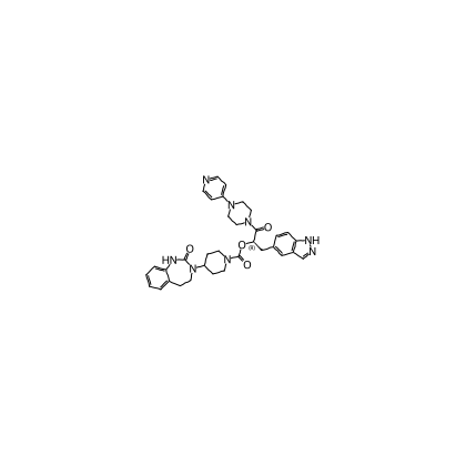 O=C(O[C@H](Cc1ccc2[nH]ncc2c1)C(=O)N1CCN(c2ccncc2)CC1)N1CCC(N2CCc3ccccc3NC2=O)CC1